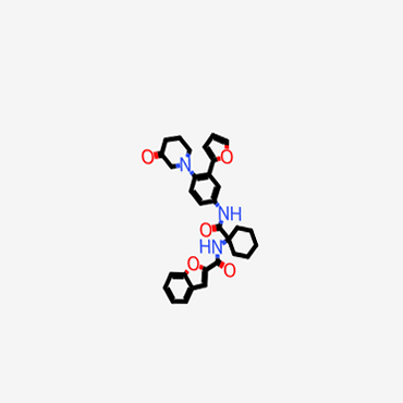 O=C1CCCN(c2ccc(NC(=O)C3(NC(=O)c4cc5ccccc5o4)CCCCC3)cc2-c2ccco2)C1